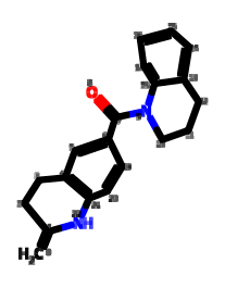 C=C1CCc2cc(C(=O)N3CCCc4ccccc43)ccc2N1